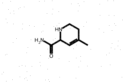 CC1=CC(C(N)=O)NCC1